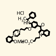 COc1ccccc1N1CCN(CCCOc2cc(C(=O)c3cn(CCCC(=O)O)c4ccccc34)ccc2NC(C)c2ccccc2)CC1.Cl